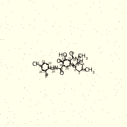 C[C@H]1CCN2[C@@H](C1)N(C)C(=O)c1c(O)c(=O)c(C(=O)NCc3ccc(Cl)cc3F)cn12